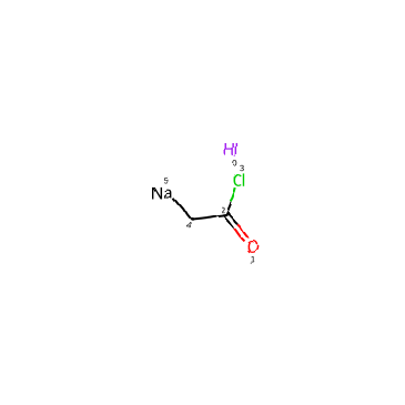 I.O=C(Cl)[CH2][Na]